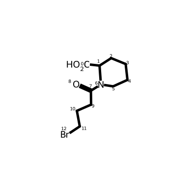 O=C(O)C1CCCCN1C(=O)CCCBr